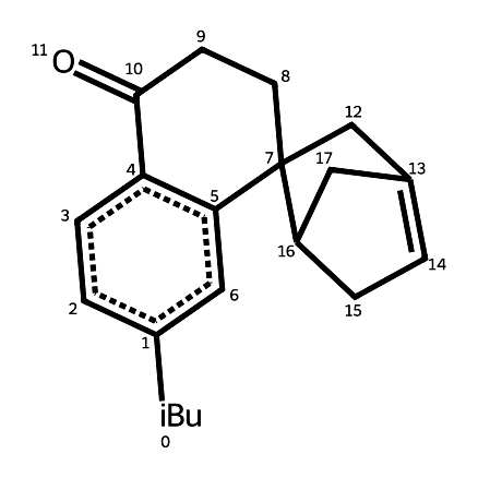 CCC(C)c1ccc2c(c1)C1(CCC2=O)CC2=CCC1C2